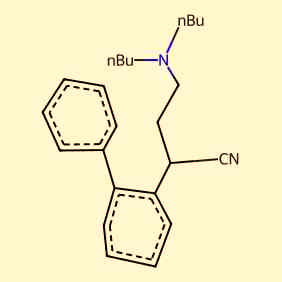 CCCCN(CCCC)CCC(C#N)c1ccccc1-c1ccccc1